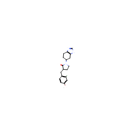 O=C1C(Cc2ccc(Br)cc2Cl)CCN1C1CCc2nc[nH]c2C1